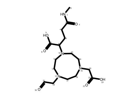 CNC(=O)CCC(C(=O)O)N1CCN(CC=O)CCN(CC(=O)O)CC1